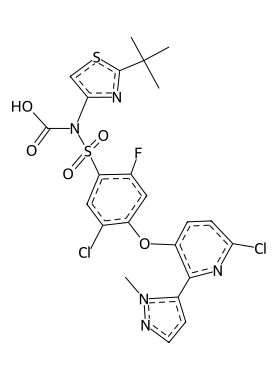 Cn1nccc1-c1nc(Cl)ccc1Oc1cc(F)c(S(=O)(=O)N(C(=O)O)c2csc(C(C)(C)C)n2)cc1Cl